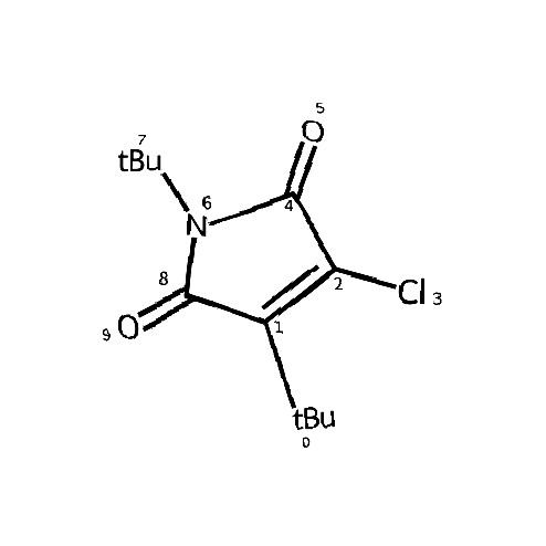 CC(C)(C)C1=C(Cl)C(=O)N(C(C)(C)C)C1=O